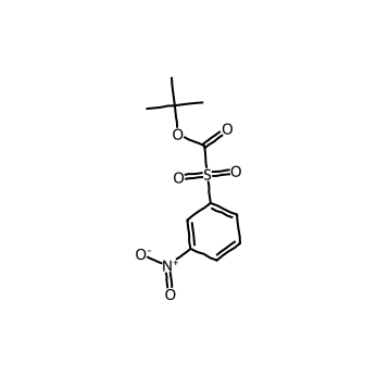 CC(C)(C)OC(=O)S(=O)(=O)c1cccc([N+](=O)[O-])c1